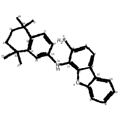 Bc1ccc2c(oc3ccccc32)c1Nc1ccc2c(c1)C(C)(C)CCC2(C)C